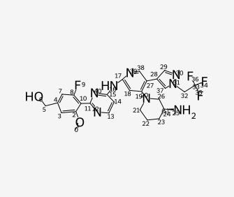 COc1cc(CO)cc(F)c1-c1nccc(Nc2cc(N3CCC[C@H](N)C3)c(-c3cnn(CC(F)(F)F)c3)cn2)n1